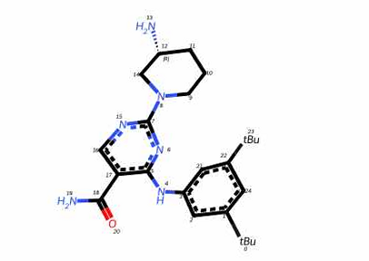 CC(C)(C)c1cc(Nc2nc(N3CCC[C@@H](N)C3)ncc2C(N)=O)cc(C(C)(C)C)c1